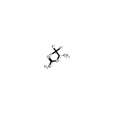 C[C@H](OC(N)=O)C(F)(F)F